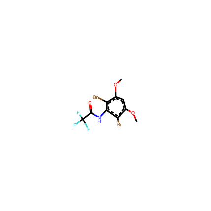 COc1cc(OC)c(Br)c(NC(=O)C(F)(F)F)c1Br